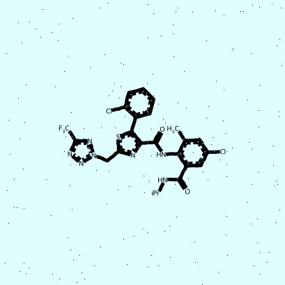 Cc1cc(Cl)cc(C(=O)NC(C)C)c1NC(=O)c1nc(Cn2nnc(C(F)(F)F)n2)sc1-c1ccccc1Cl